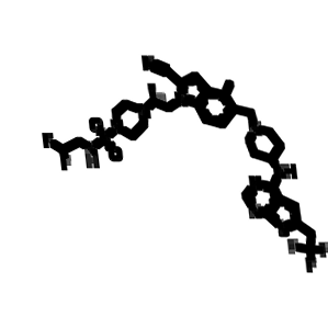 Cc1c(CN2CCC(Nc3ncnc4sc(CC(F)(F)F)cc34)CC2)ccc2c1cc(C#N)n2C[C@H](C)N1CCN(S(=O)(=O)NCC(F)F)CC1